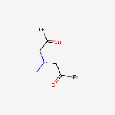 CCC(=O)CN(C)CC(=O)C(C)C